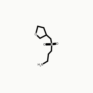 NCCCS(=O)(=O)CC1CCOC1